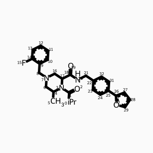 CC(C)C(=O)N1C(C)CN(Cc2ccccc2F)CC1C(=O)NCc1ccc(-c2ccco2)cc1